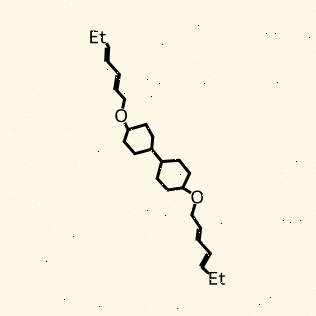 CCC=CC=CCOC1CCC(C2CCC(OCC=CC=CCC)CC2)CC1